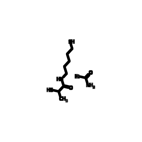 CC(S)C(=O)NCCCCCS.CCC(N)=O